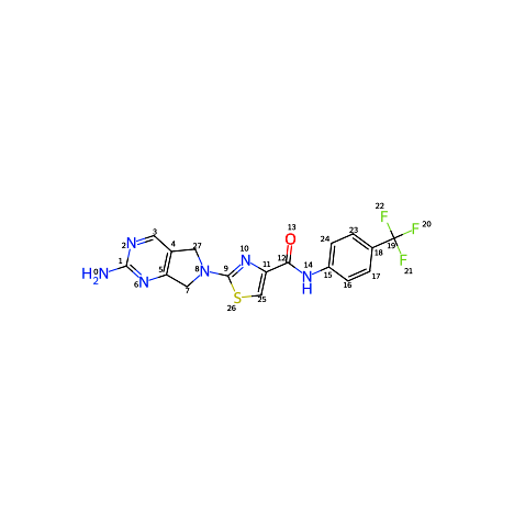 Nc1ncc2c(n1)CN(c1nc(C(=O)Nc3ccc(C(F)(F)F)cc3)cs1)C2